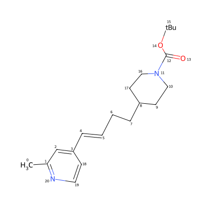 Cc1cc(C=CCCC2CCN(C(=O)OC(C)(C)C)CC2)ccn1